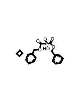 C1CCC1.O=C(OCc1ccccc1)P(=O)(O)C(=O)OCc1ccccc1